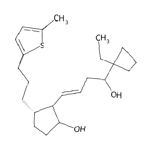 CCC1(C(O)C/C=C/C2C(O)CC[C@@H]2CCCc2ccc(C)s2)CCC1